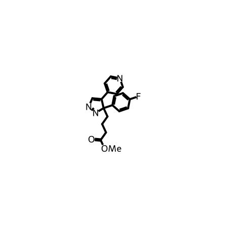 COC(=O)CCCC1(c2ccc(F)cc2)N=NC=C1c1ccncc1